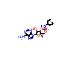 Nc1ncnc2c1ncn2[C@@H]1O[C@@H]2COP(=S)(Nc3ccccc3)OC2C1O